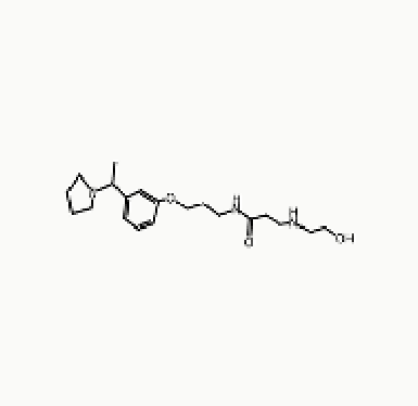 CC(c1cccc(OCCCNC(=O)CCNCCO)c1)N1CCCC1